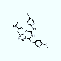 CNC(=O)Cc1nnc(C(Cc2ccc(OC)cc2)NC(=O)Nc2ccc(F)cc2)o1